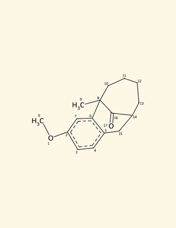 COc1ccc2c(c1)C1(C)CCCCC(C2)C1=O